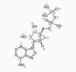 Nc1ccnc2c1ncn2[C@H]1[C@H](O)[C@H](O)[C@]2(COP(=O)(O)OP(=O)(O)O)C[C@H]12